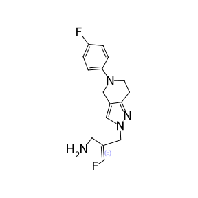 NC/C(=C\F)Cn1cc2c(n1)CCN(c1ccc(F)cc1)C2